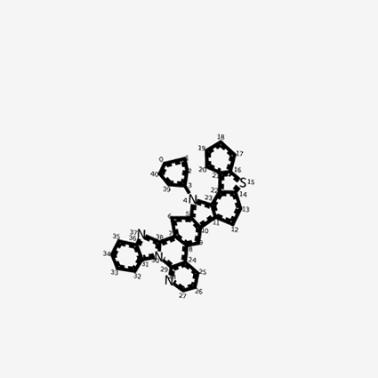 c1ccc(-n2c3cc4c(cc3c3ccc5sc6ccccc6c5c32)c2cccnc2n2c3ccccc3nc42)cc1